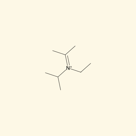 CC[N+](=C(C)C)C(C)C